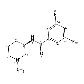 CN1CCC[C@@H](NC(=O)c2cc(F)cc(F)c2)C1